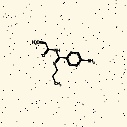 C=CC(=O)N/C(=N/CCC)c1ccc(N)cc1